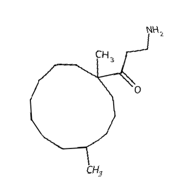 CC1CCCCCCCC(C)(C(=O)CCN)CCC1